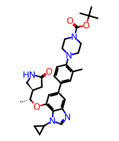 Cc1cc(-c2cc(O[C@H](C)[C@H]3CNC(=O)C3)c3c(c2)ncn3C2CC2)ccc1N1CCN(C(=O)OC(C)(C)C)CC1